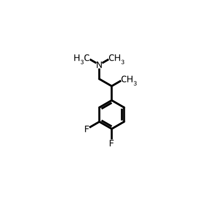 CC(CN(C)C)c1ccc(F)c(F)c1